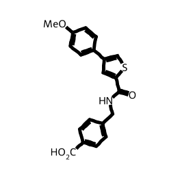 COc1ccc(-c2csc(C(=O)NCc3ccc(C(=O)O)cc3)c2)cc1